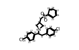 O=S(=O)(CC1CN(C(Cc2ccc(Cl)cc2)c2ccc(Cl)cc2)C1)c1ccccc1